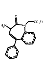 CCOC(=O)CN1C(=O)C(N)C=C(c2ccccc2)c2ccccc21